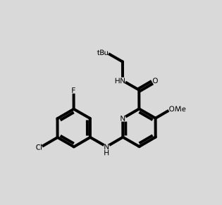 COc1ccc(Nc2cc(F)cc(Cl)c2)nc1C(=O)NCC(C)(C)C